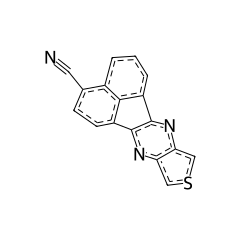 N#Cc1ccc2c3c(cccc13)-c1nc3cscc3nc1-2